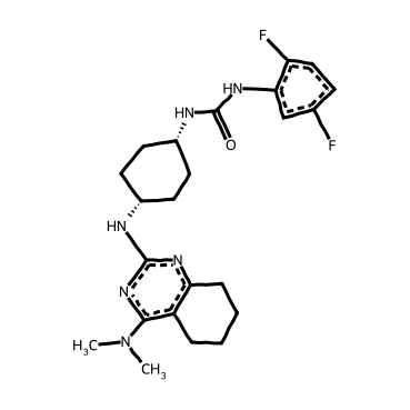 CN(C)c1nc(N[C@H]2CC[C@@H](NC(=O)Nc3cc(F)ccc3F)CC2)nc2c1CCCC2